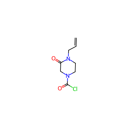 C=CCN1CCN(C(=O)Cl)CC1=O